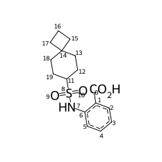 O=C(O)c1ccccc1NS(=O)(=O)C1CCC2(CCC2)CC1